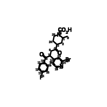 CC1CC(C(=O)CC(C(=O)c2ccc(F)cc2)c2ccnc(Br)c2)CCN1C(=O)O